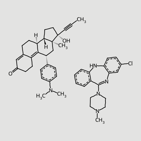 CC#C[C@]1(O)CC[C@H]2[C@@H]3CCC4=CC(=O)CCC4=C3[C@@H](c3ccc(N(C)C)cc3)C[C@@]21C.CN1CCN(C2=Nc3cc(Cl)ccc3Nc3ccccc32)CC1